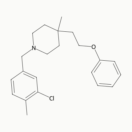 Cc1ccc(CN2CCC(C)(CCOc3ccccc3)CC2)cc1Cl